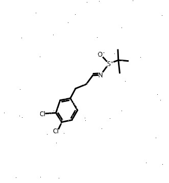 CC(C)(C)[S+]([O-])/N=C/CCc1ccc(Cl)c(Cl)c1